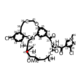 CO[C@@]12/C=C/C[C@H](C)CS(=O)(NC(=O)c3cn(C)nc3Cl)=NC(=O)c3ccc4c(c3)N(Cc3ccc(Cl)cc3CCCCO4)C[C@H](C1)[C@H]2C